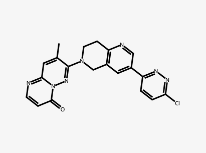 Cc1cc2nccc(=O)n2nc1N1CCc2ncc(-c3ccc(Cl)nn3)cc2C1